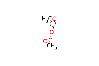 CC(=O)OCCOCC1CCC2(C)OC2C1